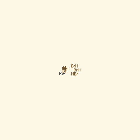 Br.Br.Br.Br.Br.[Re]